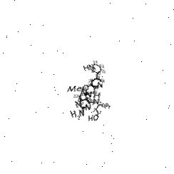 CCC[C@@H](CCO)Nc1nc(N)nc2cnn(Cc3ncc(C4CCCNC4)cc3OC)c12